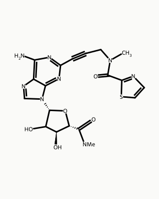 CNC(=O)[C@H]1O[C@@H](n2cnc3c(N)nc(C#CCN(C)C(=O)c4nccs4)nc32)C(O)[C@@H]1O